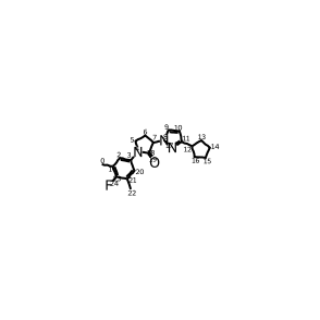 Cc1cc(N2CCC(n3ccc(C4CCCC4)n3)C2=O)cc(C)c1F